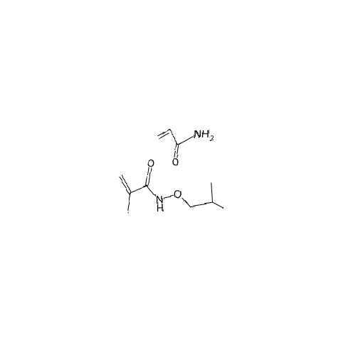 C=C(C)C(=O)NOCC(C)C.C=CC(N)=O